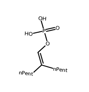 CCCCCC(=COP(=O)(O)O)CCCCC